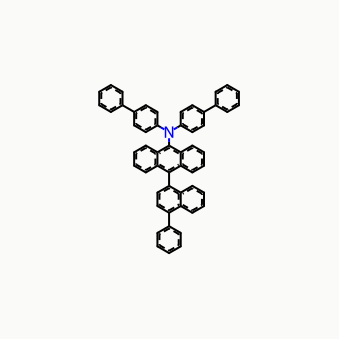 c1ccc(-c2ccc(N(c3ccc(-c4ccccc4)cc3)c3c4ccccc4c(-c4ccc(-c5ccccc5)c5ccccc45)c4ccccc34)cc2)cc1